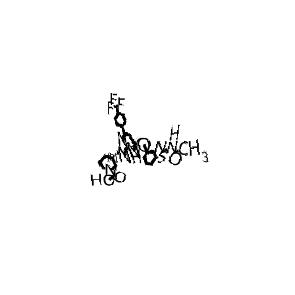 CC(=O)Nc1nc2c(Oc3cc(-c4ccc(C(F)(F)F)cc4)nc(NC[C@H]4CCCN(C(=O)O)C4)n3)cccc2s1